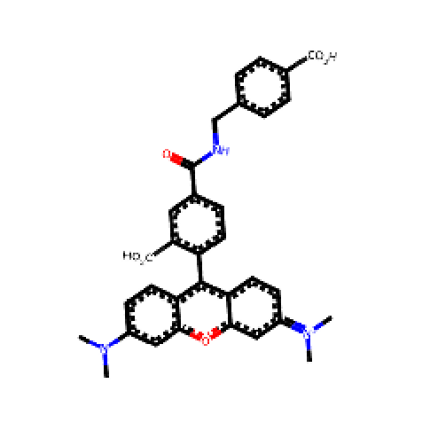 CN(C)c1ccc2c(-c3ccc(C(=O)NCc4ccc(C(=O)O)cc4)cc3C(=O)O)c3ccc(=[N+](C)C)cc-3oc2c1